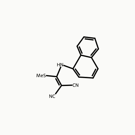 CSC(Nc1cccc2ccccc12)=C(C#N)C#N